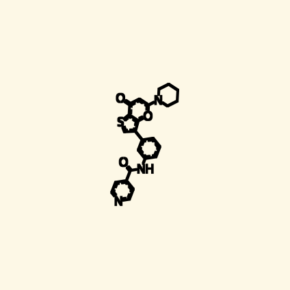 O=C(Nc1cccc(-c2csc3c(=O)cc(N4CCCCC4)oc23)c1)c1ccncc1